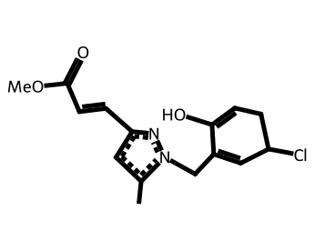 COC(=O)/C=C/c1cc(C)n(CC2=CC(Cl)CC=C2O)n1